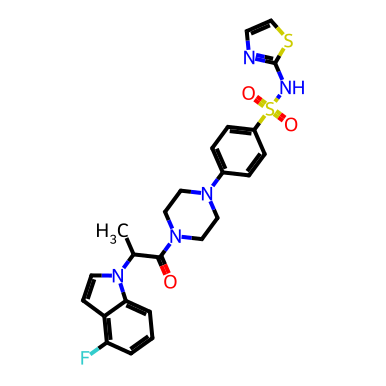 CC(C(=O)N1CCN(c2ccc(S(=O)(=O)Nc3nccs3)cc2)CC1)n1ccc2c(F)cccc21